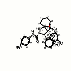 CC(C)c1ccc(NC(=O)[C@@H]2NC3(CCCCC3)[C@@]3(C(=O)Nc4cc(Cl)ccc43)[C@H]2c2cccc(Cl)c2F)cc1